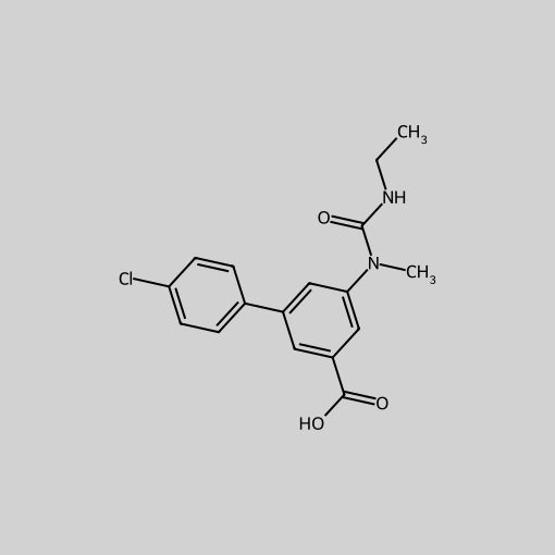 CCNC(=O)N(C)c1cc(C(=O)O)cc(-c2ccc(Cl)cc2)c1